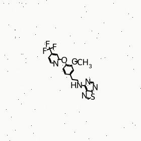 COc1cc(CCNc2ncnc3scnc23)ccc1Oc1cc(C(F)(F)F)ccn1